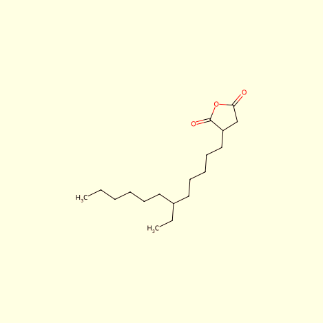 CCCCCCC(CC)CCCCCC1CC(=O)OC1=O